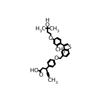 CC#CC(CC(=O)O)c1ccc(OCc2ccc3scc(-c4ccc(OCCC(C)(C)O)cc4C)c3c2)cc1